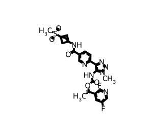 C[C@@H](OC(=O)Nc1c(-c2ccc(C(=O)NC34CC(S(C)(=O)=O)(C3)C4)cn2)nnn1C)c1cc(F)cnc1F